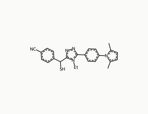 CCn1c(-c2ccc(-n3c(C)ccc3C)cc2)nnc1C(S)c1ccc(C#N)cc1